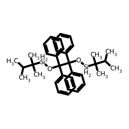 CC(C)C(C)(C)[SiH2]OC(c1ccccc1)(c1ccccc1)C(O[SiH2]C(C)(C)C(C)C)(c1ccccc1)c1ccccc1